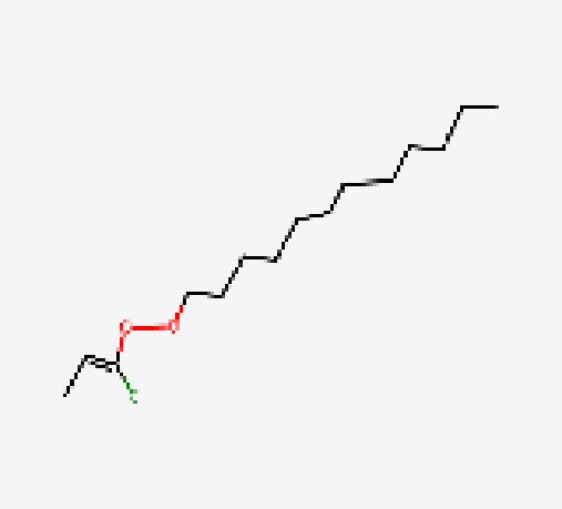 CC=C(Cl)OOCCCCCCCCCCCC